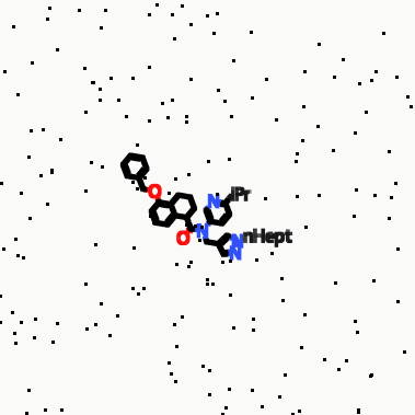 CCCCCCCn1cc(CN(C(=O)C2CCCc3c(OCc4ccccc4)cccc32)c2ccc(C(C)C)nc2)cn1